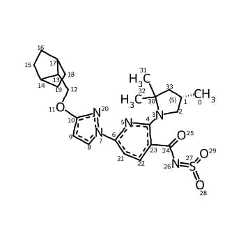 C[C@@H]1CN(c2nc(-n3ccc(OCC4C5CCC4CC5)n3)ccc2C(=O)N=S(=O)=O)C(C)(C)C1